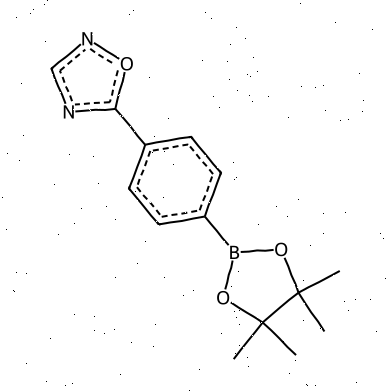 CC1(C)OB(c2ccc(-c3ncno3)cc2)OC1(C)C